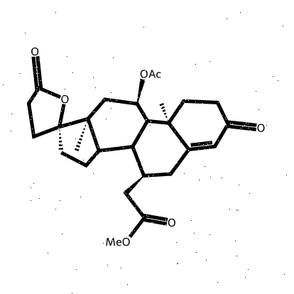 COC(=O)C[C@@H]1CC2=CC(=O)CC[C@]2(C)C2C1C1CC[C@@]3(CCC(=O)O3)[C@@]1(C)C[C@H]2OC(C)=O